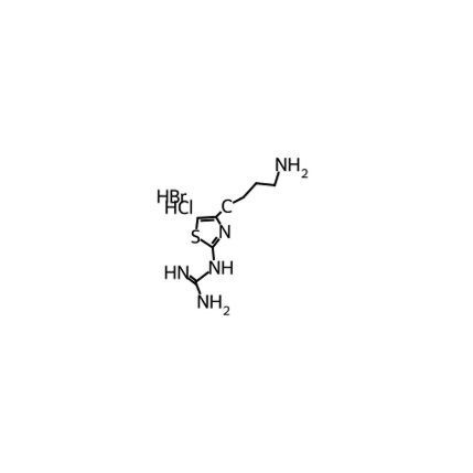 Br.Cl.N=C(N)Nc1nc(CCCCN)cs1